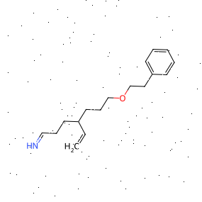 C=CC(CCC=N)CCCOCCc1ccccc1